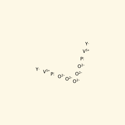 [O-2].[O-2].[O-2].[O-2].[O-2].[P].[P].[V+5].[V+5].[Y].[Y]